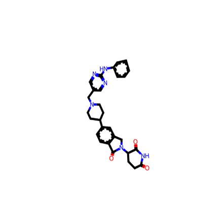 O=C1CCC(N2Cc3cc(C4CCN(Cc5cnc(Nc6ccccc6)nc5)CC4)ccc3C2=O)C(=O)N1